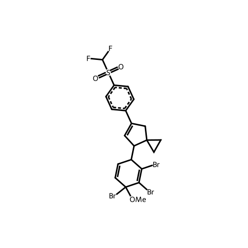 COC1(Br)C=CC(C2C=C(c3ccc(S(=O)(=O)C(F)F)cc3)CC23CC3)C(Br)=C1Br